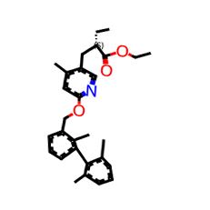 CCOC(=O)[C@@H](CC)Cc1cnc(OCc2cccc(-c3c(C)cccc3C)c2C)cc1C